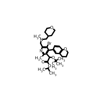 Cc1nc(CN(C)CC2CCOCC2)c(Br)c(-c2ccc3c(c2)CCCO3)c1C(OC(C)(C)C)C(=O)OC(C)C